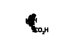 Cc1noc(-c2ccc(-c3ccc(C4(C(=O)O)CC4)cc3)c3c2SCC3)c1NC(=O)OC(C)c1ccccc1